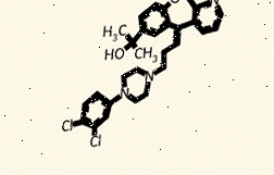 CC(C)(O)c1ccc2c(c1)C(=CCCN1CCN(c3ccc(Cl)c(Cl)c3)CC1)c1cccnc1CO2